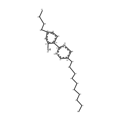 CCCCCCCCCCc1cnc(-c2ccc(CCCC)cc2S)nc1